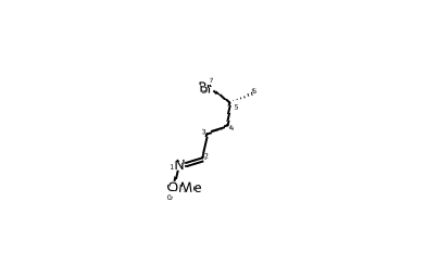 CON=CCC[C@@H](C)Br